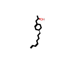 C=C/C=C\CCCC[C@H]1CC=C(CC(C)O)CC1